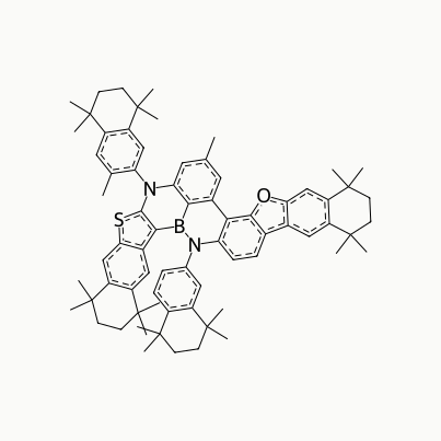 Cc1cc2c3c(c1)N(c1cc4c(cc1C)C(C)(C)CCC4(C)C)c1sc4cc5c(cc4c1B3N(c1ccc3c(c1)C(C)(C)CCC3(C)C)c1ccc3c(oc4cc6c(cc43)C(C)(C)CCC6(C)C)c1-2)C(C)(C)CCC5(C)C